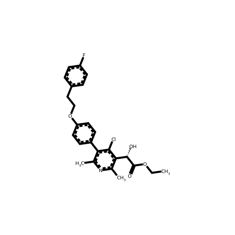 CCOC(=O)[C@@H](O)c1c(C)nc(C)c(-c2ccc(OCCc3ccc(F)cc3)cc2)c1Cl